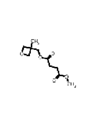 COC(=O)CCC(=O)OCC1(C)COC1